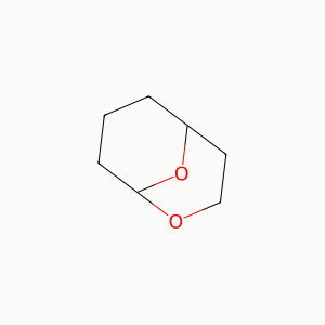 C1CC2CCOC(C1)O2